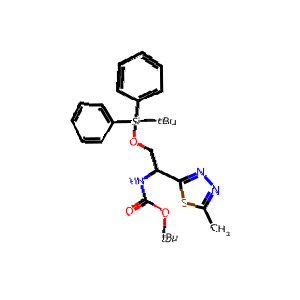 Cc1nnc(C(CO[Si](c2ccccc2)(c2ccccc2)C(C)(C)C)NC(=O)OC(C)(C)C)s1